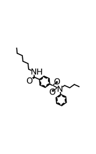 CCCCCCNC(=O)c1ccc(S(=O)(=O)N(CCCC)c2ccccc2)cc1